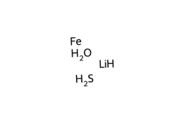 O.S.[Fe].[LiH]